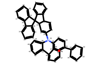 C1=CC2c3ccccc3C3(c4ccccc4-c4ccccc43)C2C=C1N(c1ccc(-c2ccccc2)cc1)c1ccccc1-c1ccccc1